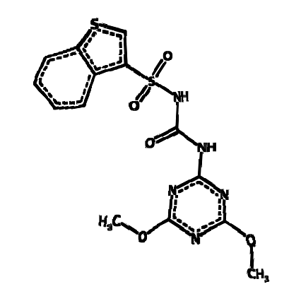 COc1nc(NC(=O)NS(=O)(=O)c2csc3ccccc23)nc(OC)n1